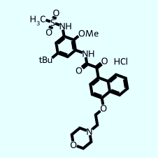 COc1c(NC(=O)C(=O)c2ccc(OCCN3CCOCC3)c3ccccc23)cc(C(C)(C)C)cc1NS(C)(=O)=O.Cl